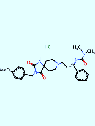 COc1ccc(CN2C(=O)NC3(CCN(CC[C@H](NC(=O)N(C)C)c4ccccc4)CC3)C2=O)cc1.Cl